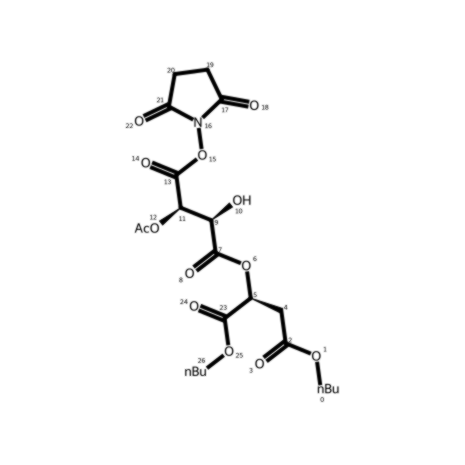 CCCCOC(=O)C[C@H](OC(=O)[C@H](O)[C@@H](OC(C)=O)C(=O)ON1C(=O)CCC1=O)C(=O)OCCCC